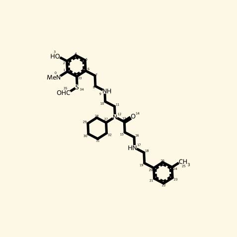 CNc1c(O)ccc(CCNCCN(C(=O)CCNCCc2cccc(C)c2)C2CCCCC2)c1SC=O